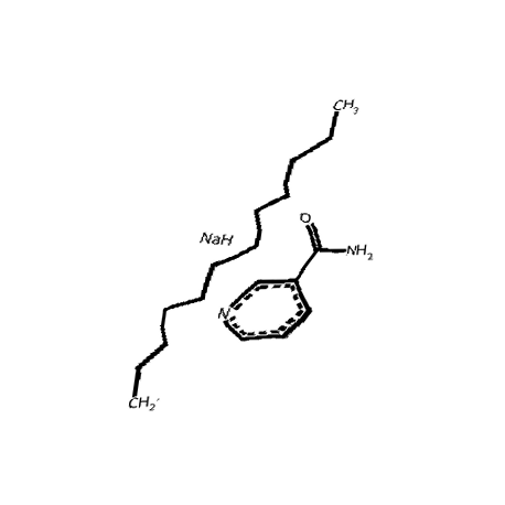 NC(=O)c1cccnc1.[CH2]CCCCCCCCCCC.[NaH]